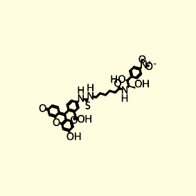 O=C(CCCCCNC(=S)Nc1ccc(-c2c3ccc(=O)cc-3oc3cc(O)ccc23)c(C(=O)O)c1)N[C@H](CO)[C@H](O)c1ccc([N+](=O)[O-])cc1